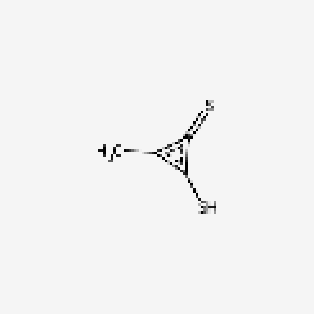 Cc1c(S)c1=S